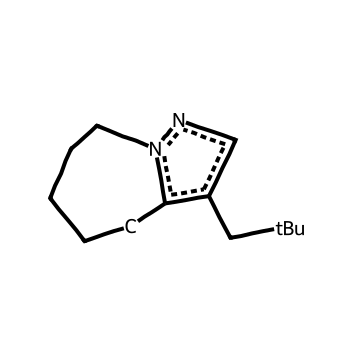 CC(C)(C)Cc1cnn2c1CCCCC2